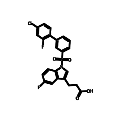 O=C(O)CCc1cn(S(=O)(=O)c2cccc(-c3ccc(Cl)cc3F)c2)c2ccc(F)cc12